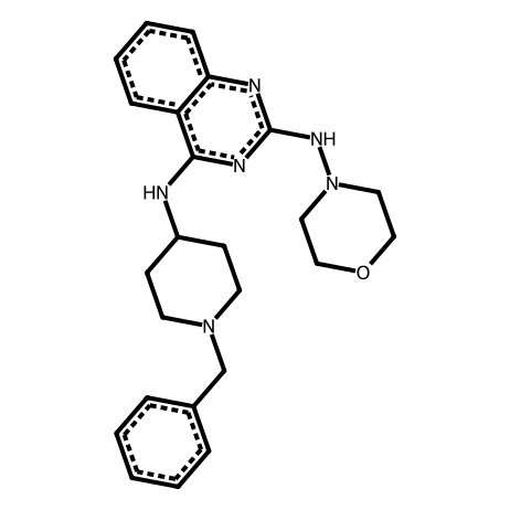 c1ccc(CN2CCC(Nc3nc(NN4CCOCC4)nc4ccccc34)CC2)cc1